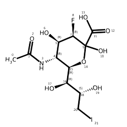 CC(=O)N[C@@H]1[C@@H](O)[C@@H](F)C(O)(C(=O)O)O[C@H]1[C@H](O)[C@H](O)CI